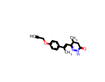 C#CCOc1ccc(C(C)=CC2=NNC(=O)CC2C)cc1